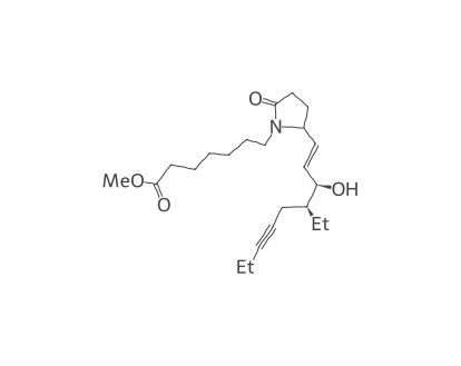 CCC#CC[C@H](CC)[C@H](O)/C=C/C1CCC(=O)N1CCCCCCC(=O)OC